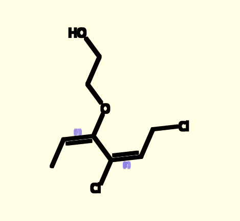 C/C=C(OCCO)\C(Cl)=C/CCl